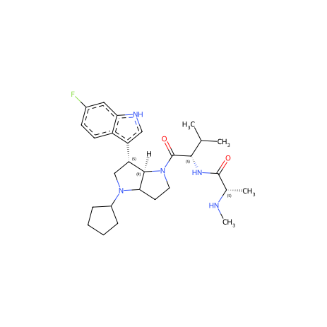 CN[C@@H](C)C(=O)N[C@H](C(=O)N1CCC2[C@H]1[C@@H](c1c[nH]c3cc(F)ccc13)CN2C1CCCC1)C(C)C